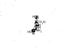 NC(C(=O)NC1C(=O)N2C(C(=O)O)=C(CSc3c[nH]nn3)CS[C@@H]12)c1ccc(O)c(Br)c1